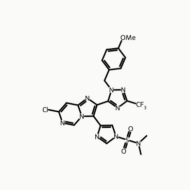 COc1ccc(Cn2nc(C(F)(F)F)nc2-c2nc3cc(Cl)ncn3c2-c2cn(S(=O)(=O)N(C)C)cn2)cc1